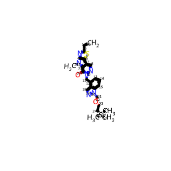 C=Cc1nc2c(s1)c1cnn(Cc3cccc4c3cnn4COCC[Si](C)(C)C)c(=O)c1n2C